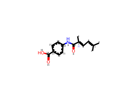 CC(C)=C/C=C(\C)C(=O)Nc1ccc(C(=O)O)cc1